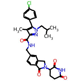 Cc1c(C(=O)NCc2ccc3c(c2)CN(C2CCC(=O)NC2=O)C3=O)nn(CC(C)C)c1-c1ccc(Cl)cc1